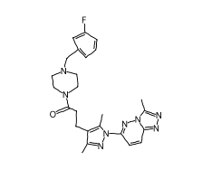 Cc1nn(-c2ccc3nnc(C)n3n2)c(C)c1CCC(=O)N1CCN(Cc2cccc(F)c2)CC1